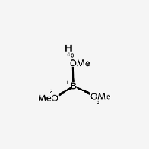 COB(OC)OC.I